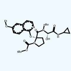 CCCCN(C(=O)[C@@]1(Oc2nccc3cc(OCC)ccc23)CCCN1C(=O)OC(C)(C)C)[C@@H](O)C(=O)NC1CC1